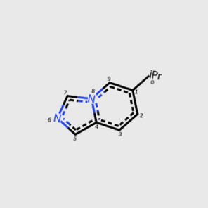 CC(C)c1ccc2cncn2c1